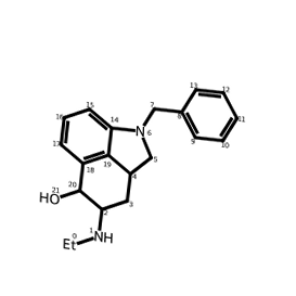 CCNC1CC2CN(Cc3ccccc3)c3cccc(c32)C1O